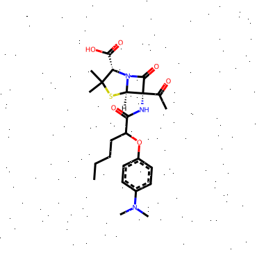 CCCCC(Oc1ccc(N(C)C)cc1)C(=O)N[C@@]1(C(C)=O)C(=O)N2[C@@H](C(=O)O)C(C)(C)S[C@@H]21